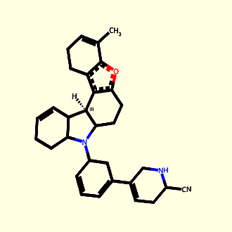 CC1=CCCc2c1oc1c2[C@@H]2C3C=CCCC3N(C3C=CC=C(C4=CCC(C#N)NC4)C3)C2CC1